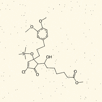 COC(=O)CCCCCC(O)C1C(=O)C(Cl)=CC1(CCCc1ccc(OC)c(OC)c1)O[Si](C)(C)C